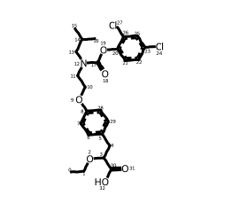 CCOC(Cc1ccc(OCCN(CC(C)C)C(=O)Oc2ccc(Cl)cc2Cl)cc1)C(=O)O